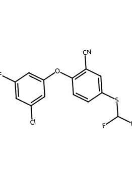 N#Cc1cc(SC(F)F)ccc1Oc1cc(F)cc(Cl)c1